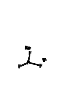 FP(F)F.[Na].[V]